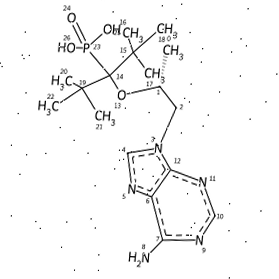 C[C@H](Cn1cnc2c(N)ncnc21)OC(C(C)(C)C)(C(C)(C)C)P(=O)(O)O